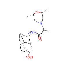 CC(C(=O)NC1C2CC3CC1CC(O)(C3)C2)N1C[C@@H](C)O[C@@H](C)C1